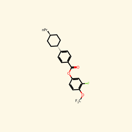 CCC[C@H]1CC[C@H](c2ccc(C(=O)Oc3ccc(OC(F)(F)F)c(F)c3)cc2)CC1